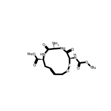 COC(=O)[C@@H]1C/C=C/COC[C@H](NC(=O)OC(C)(C)C)C(=O)N[C@@H](N)C(=O)N1